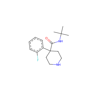 CC(C)(C)NC(=O)C1(c2ccccc2F)CCNCC1